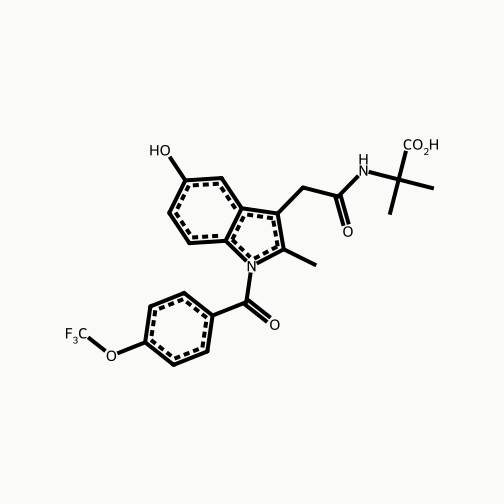 Cc1c(CC(=O)NC(C)(C)C(=O)O)c2cc(O)ccc2n1C(=O)c1ccc(OC(F)(F)F)cc1